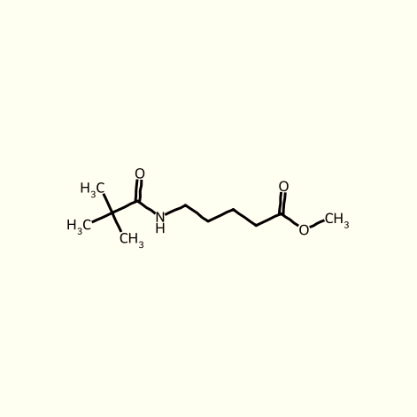 COC(=O)CCCCNC(=O)C(C)(C)C